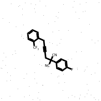 N#CC(C#N)(CC#CCc1ccccc1C(F)(F)F)c1ccc(F)cc1